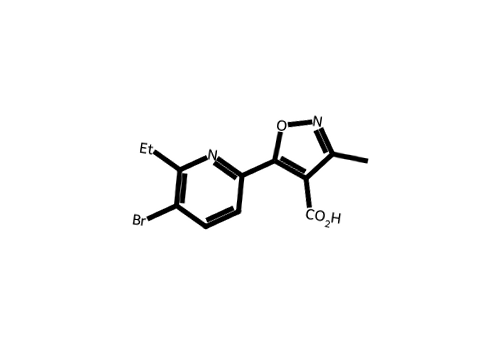 CCc1nc(-c2onc(C)c2C(=O)O)ccc1Br